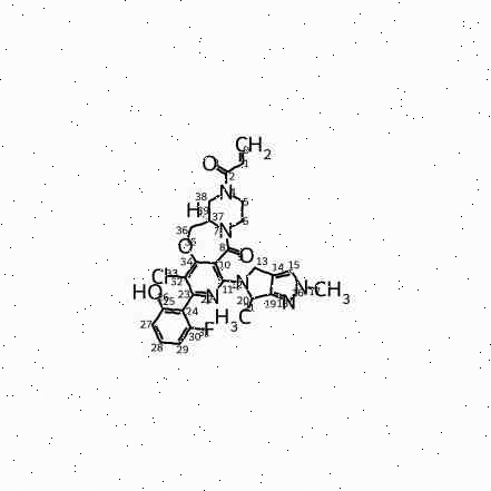 C=CC(=O)N1CCN2C(=O)c3c(N4Cc5cn(C)nc5C4C)nc(-c4c(O)cccc4F)c(Cl)c3OC[C@H]2C1